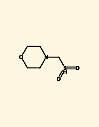 O=[SH](=O)CN1CCOCC1